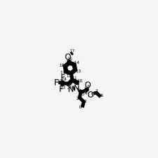 CCCC(C(=O)OCC)n1cc(-c2ccc(OC)cc2)c(C(F)(F)F)n1